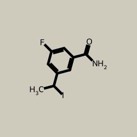 CC(I)c1cc(F)cc(C(N)=O)c1